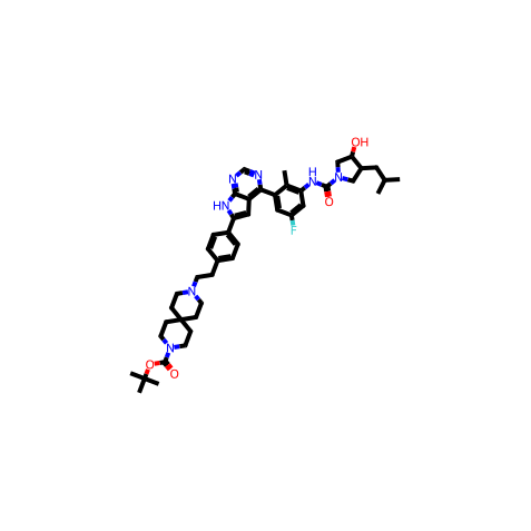 Cc1c(NC(=O)N2CC(O)C(CC(C)C)C2)cc(F)cc1-c1ncnc2[nH]c(-c3ccc(CCN4CCC5(CC4)CCN(C(=O)OC(C)(C)C)CC5)cc3)cc12